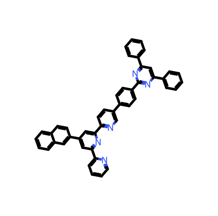 c1ccc(-c2cc(-c3ccccc3)nc(-c3ccc(-c4ccc(-c5cc(-c6ccc7ccccc7c6)cc(-c6ccccn6)n5)nc4)cc3)n2)cc1